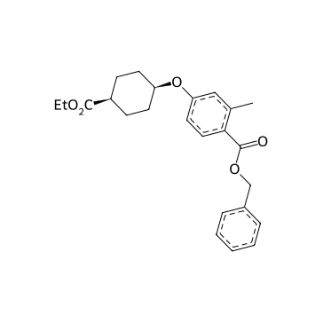 CCOC(=O)[C@H]1CC[C@@H](Oc2ccc(C(=O)OCc3ccccc3)c(C)c2)CC1